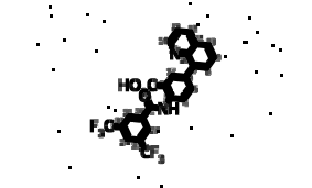 O=C(Nc1ccc(-c2cccc3cccnc23)cc1C(=O)O)c1cc(C(F)(F)F)cc(C(F)(F)F)c1